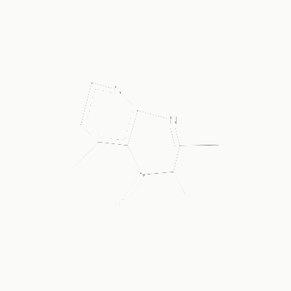 CC1=Nc2nccc(C)c2C(=O)C1C